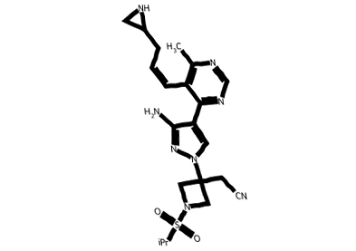 Cc1ncnc(-c2cn(C3(CC#N)CN(S(=O)(=O)C(C)C)C3)nc2N)c1/C=C\CC1CN1